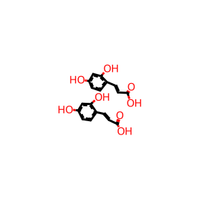 O=C(O)C=Cc1ccc(O)cc1O.O=C(O)C=Cc1ccc(O)cc1O